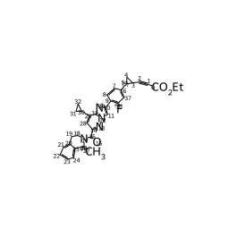 CCOC(=O)C#CC1C[C@@H]1c1ccc(-c2cn3nc(C(=O)N4CCc5ccccc5[C@H]4C)cc(C4CC4)c3n2)c(F)c1